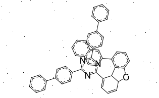 C1=CC2Oc3cccc(-c4ccc5ccccc5c4)c3C2C(c2nc(-c3ccc(-c4ccccc4)cc3)nc(-c3ccc(-c4ccccc4)cc3)n2)=C1